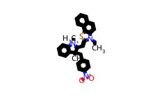 CCN1/C(=C/C2=[N+](C)c3ccccc3C2(C)Cc2ccc([N+](=O)[O-])cc2)Sc2c1ccc1ccccc21